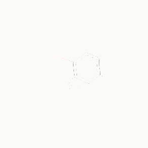 Cl.Cl.Oc1ccccc1.[AlH3]